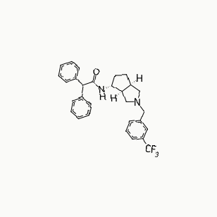 O=C(N[C@@H]1CC[C@H]2CN(Cc3cccc(C(F)(F)F)c3)C[C@H]21)C(c1ccccc1)c1ccccc1